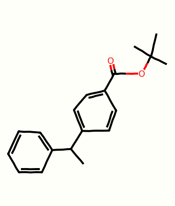 CC(c1ccccc1)c1ccc(C(=O)OC(C)(C)C)cc1